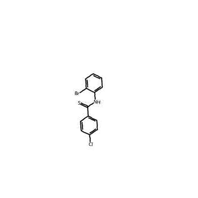 S=C(Nc1ccccc1Br)c1ccc(Cl)cc1